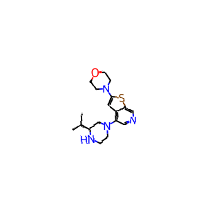 CC(C)C1CN(c2cncc3sc(N4CCOCC4)cc23)CCN1